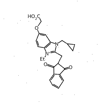 CC[n+]1c(CC2C(=O)c3ccccc3C2=O)n(CC2CC2)c2cc(OCC(=O)O)ccc21